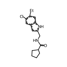 CCc1cc2[nH]c(CNC(=O)C3CCCC3)cc2cc1Cl